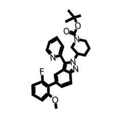 COc1cccc(F)c1-c1ccc2nn(C3CCCN(C(=O)OC(C)(C)C)C3)c(-c3ccccn3)c2c1